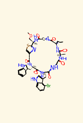 C/C=C1\NC(=O)[C@@H](C)NC(=O)CNC(=O)[C@H](Cc2c[nH]c3cccc(Br)c23)NC(=O)[C@H](Cc2c[nH]c3ccccc23)NC(=O)c2csc(n2)[C@@H](COC)NC(=O)CN(C)C1=O